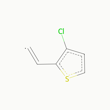 [CH]=Cc1sccc1Cl